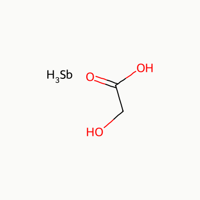 O=C(O)CO.[SbH3]